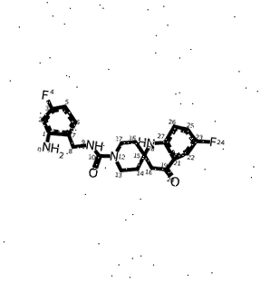 Nc1cc(F)ccc1CNC(=O)N1CCC2(CC1)CC(=O)c1cc(F)ccc1N2